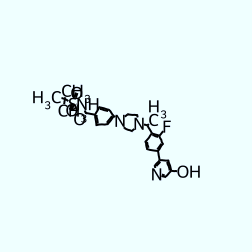 CC(c1ccc(-c2cncc(O)c2)cc1F)N1CCN(c2ccc(C(=O)NS(=O)(=O)C(C)(C)C)cc2)CC1